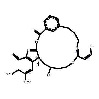 C=CC1=C(/C=C(\COC)OC)[C@@H]2CC(O)CCOC(/C=C\C(C)=O)=N/CCCc3cccc(c3)C(=O)NC2=N1